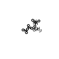 CC1(C)c2ccc(-c3nc(-c4ccccc4)nc(-c4ccccc4)n3)cc2-c2cc(-n3c4ccccc4c4cc5c(cc43)c3ccccc3n5-c3ccccc3)ccc21